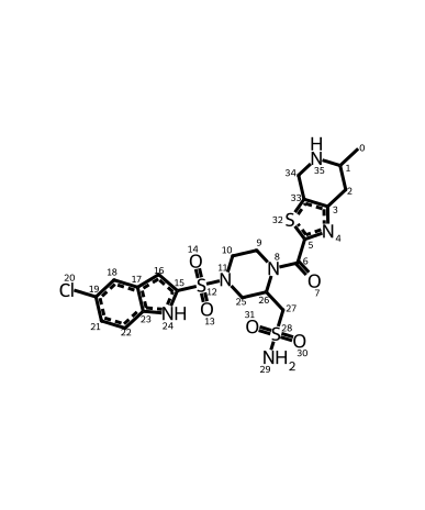 CC1Cc2nc(C(=O)N3CCN(S(=O)(=O)c4cc5cc(Cl)ccc5[nH]4)CC3CS(N)(=O)=O)sc2CN1